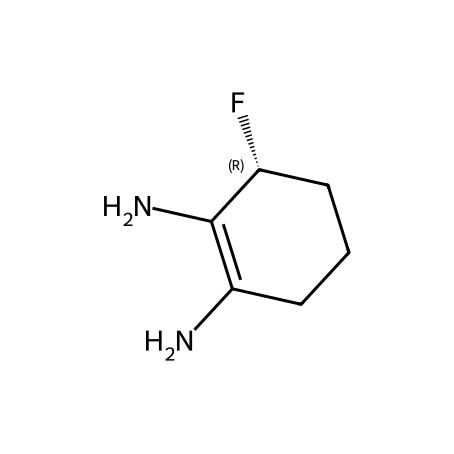 NC1=C(N)[C@H](F)CCC1